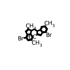 CC1=Cc2c(Br)cc(C)cc2C1CC1C(C)=Cc2c(Br)cc(C)cc21